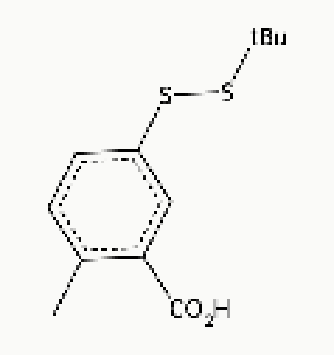 Cc1ccc(SSC(C)(C)C)cc1C(=O)O